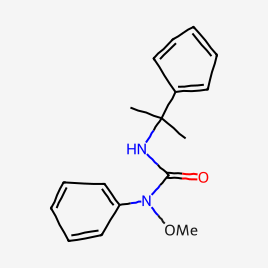 CON(C(=O)NC(C)(C)c1ccccc1)c1ccccc1